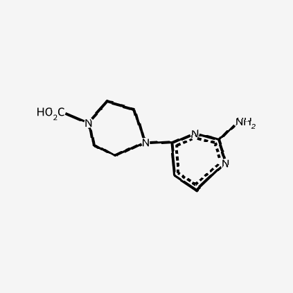 Nc1nccc(N2CCN(C(=O)O)CC2)n1